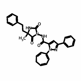 CC1(CCc2ccccc2)NC(=O)N(NC(=O)c2cc(-c3ccccc3)nn2C2=CC=CCC=C2)C1=O